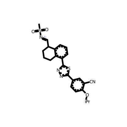 CC(C)Oc1ccc(-c2nnc(-c3cccc4c3CCCC4/C=N/S(C)(=O)=O)s2)cc1C#N